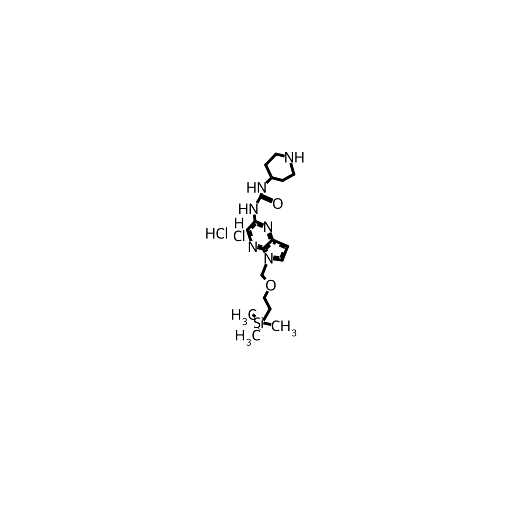 C[Si](C)(C)CCOCn1ccc2nc(NC(=O)NC3CCNCC3)cnc21.Cl.Cl